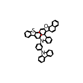 c1cc(N(c2ccc3sc4ccccc4c3c2)c2ccccc2-c2cccc3oc4c5ccccc5ccc4c23)cc(-n2c3ccccc3c3ccccc32)c1